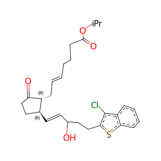 CC(C)OC(=O)CCCC=CC[C@H]1C(=O)CC[C@@H]1C=CC(O)CCc1sc2ccccc2c1Cl